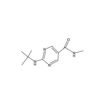 CNC(=O)c1cnc(NC(C)(C)C)nc1